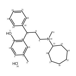 Cc1ccc(O)c(C(CCN(C)C2CCCCCC2)c2ccccc2)c1.Cl